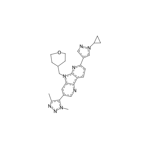 Cc1nnn(C)c1-c1cnc2c3ccc(-c4cnn(C5CC5)c4)nc3n(CC3CCOCC3)c2c1